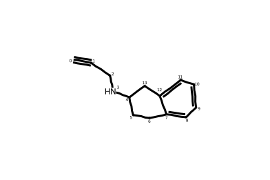 C#CCNC1CCc2ccccc2C1